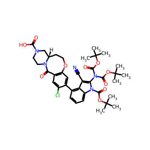 CC(C)(C)OC(=O)N(C(=O)OC(C)(C)C)c1c(C#N)c2c(-c3cc4c(cc3Cl)C(=O)N3CCN(C(=O)O)C[C@@H]3CCO4)cccc2n1C(=O)OC(C)(C)C